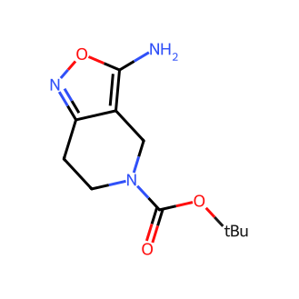 CC(C)(C)OC(=O)N1CCc2noc(N)c2C1